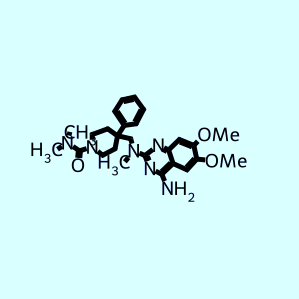 COc1cc2nc(N(C)CC3(c4ccccc4)CCN(C(=O)N(C)C)CC3)nc(N)c2cc1OC